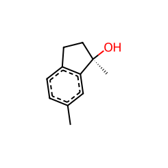 Cc1ccc2c(c1)[C@](C)(O)CC2